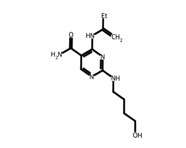 C=C(CC)Nc1nc(NCCCCO)ncc1C(N)=O